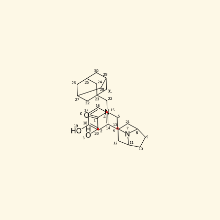 O=C(CO)N(CCN1C2CCC1CC(c1cccc(O)c1)C2)CC12CC3CC(CC(C3)C1)C2